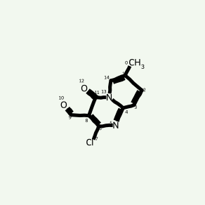 Cc1ccc2nc(Cl)c(C=O)c(=O)n2c1